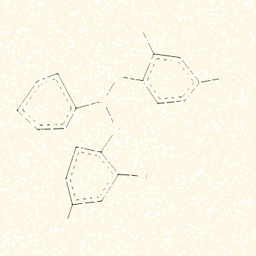 Cc1ccc(OP(Oc2ccc(C)cc2C)c2ccccc2)c(C)c1